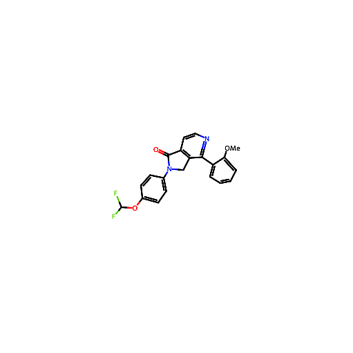 COc1ccccc1-c1nccc2c1CN(c1ccc(OC(F)F)cc1)C2=O